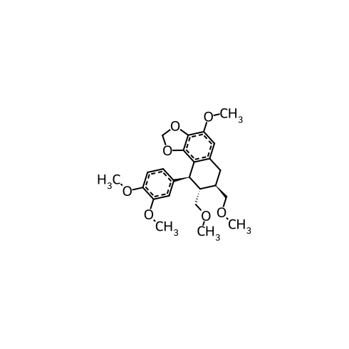 COC[C@@H]1Cc2cc(OC)c3c(c2[C@H](c2ccc(OC)c(OC)c2)[C@H]1COC)OCO3